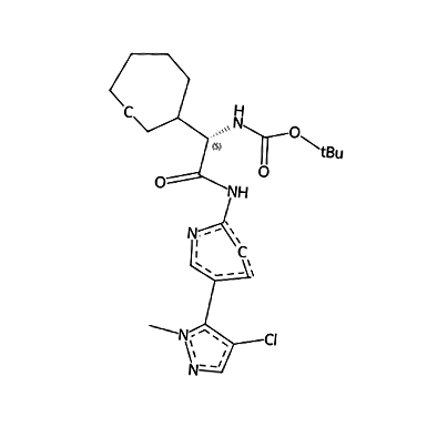 Cn1ncc(Cl)c1-c1ccc(NC(=O)[C@@H](NC(=O)OC(C)(C)C)C2CCCCCC2)nc1